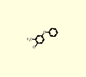 FC(F)(F)c1cc(Oc2cc[c]cc2)ccc1Cl